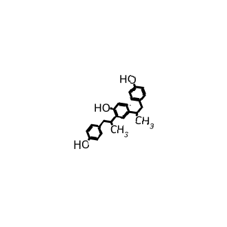 CC(Cc1ccc(O)cc1)c1[c]cc(O)c(C(C)Cc2ccc(O)cc2)c1